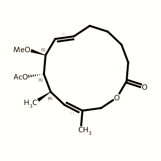 CO[C@H]1/C=C/CCCCC(=O)OC/C(C)=C\[C@@H](C)[C@@H]1OC(C)=O